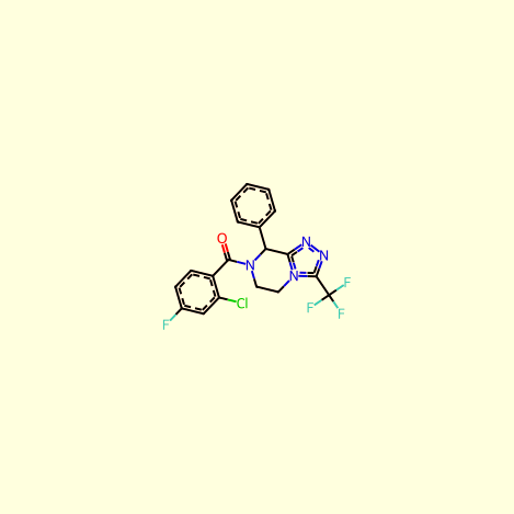 O=C(c1ccc(F)cc1Cl)N1CCn2c(nnc2C(F)(F)F)C1c1ccccc1